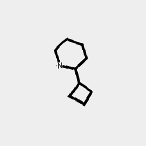 C1CCC(C2CCC2)[N]C1